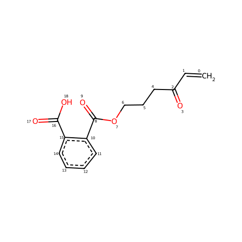 C=CC(=O)CCCOC(=O)c1ccccc1C(=O)O